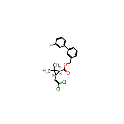 CC1(C)[C@H](C=C(Cl)Cl)[C@@H]1C(=O)OCc1cccc(-c2cccc(F)c2)c1